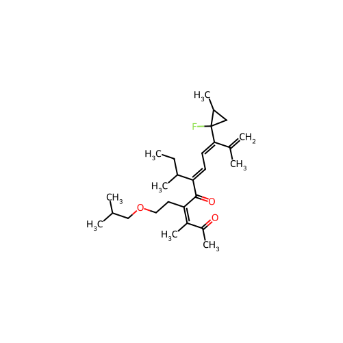 C=C(C)/C(=C\C=C(\C(=O)/C(CCOCC(C)C)=C(/C)C(C)=O)C(C)CC)C1(F)CC1C